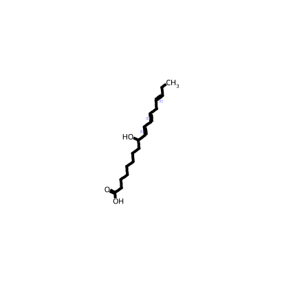 CC/C=C/C/C=C/C=C/C(O)CCCCCCCC(=O)O